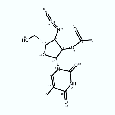 CC(=O)O[C@@H]1C(N=[N+]=[N-])[C@@H](CO)O[C@H]1n1cc(C)c(=O)[nH]c1=O